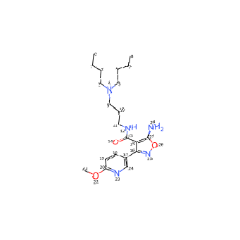 CCCCN(CCCC)CCCNC(=O)c1c(-c2ccc(OC)nc2)noc1N